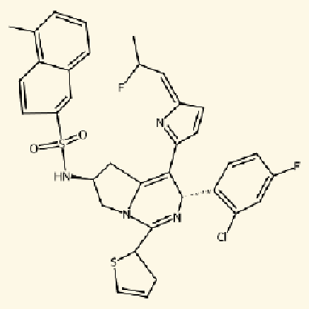 Cc1cccc2cc(S(=O)(=O)N[C@H]3CC4=C(C5=N/C(=C\C(C)F)C=C5)[C@H](c5ccc(F)cc5Cl)N=C(C5CC=CS5)N4C3)ccc12